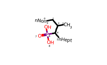 CCCCCCCCCCC(C)C(CCCCCCC)P(=O)(O)O